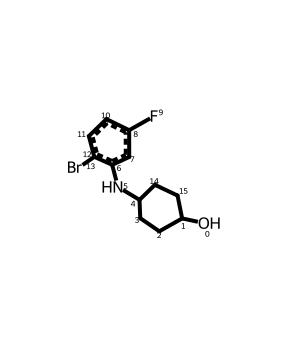 OC1CCC(Nc2cc(F)ccc2Br)CC1